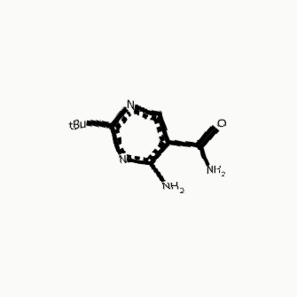 CC(C)(C)c1ncc(C(N)=O)c(N)n1